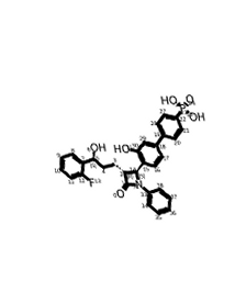 O=C1[C@H](CC[C@H](O)c2ccccc2F)[C@@H](c2ccc(-c3ccc(P(=O)(O)O)cc3)cc2O)N1c1ccccc1